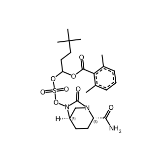 Cc1cccc(C)c1C(=O)OC(CCC(C)(C)C)OS(=O)(=O)ON1C(=O)N2C[C@H]1CC[C@H]2C(N)=O